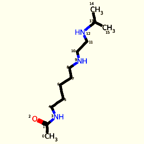 CC(=O)NCCCCCNCCNC(C)C